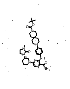 CN1CCN([C@@H]2CCCN(c3cnc(C(N)=O)c(Nc4ccc(N5CCC6(CCN(C(=O)OC(C)(C)C)CC6)CC5)cc4)n3)C2)C1=O